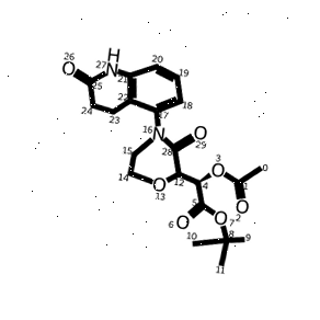 CC(=O)O[C@@H](C(=O)OC(C)(C)C)C1OCCN(c2cccc3c2CCC(=O)N3)C1=O